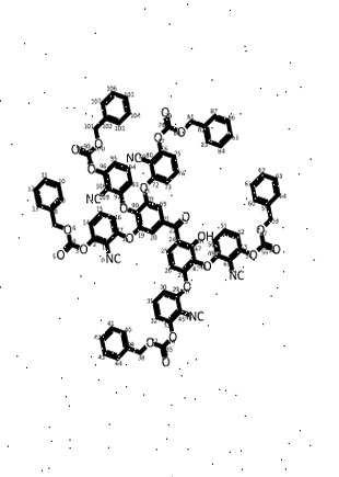 [C-]#[N+]c1c(OC(=O)OCc2ccccc2)cccc1Oc1cc(C(=O)c2ccc(Oc3cccc(OC(=O)OCc4ccccc4)c3[N+]#[C-])c(Oc3cccc(OC(=O)OCc4ccccc4)c3[N+]#[C-])c2O)cc(Oc2cccc(OC(=O)OCc3ccccc3)c2C#N)c1Oc1cccc(OC(=O)OCc2ccccc2)c1C#N